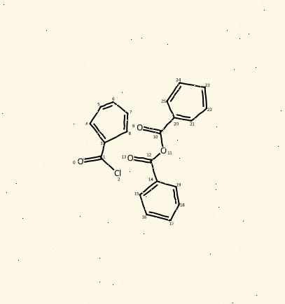 O=C(Cl)c1ccccc1.O=C(OC(=O)c1ccccc1)c1ccccc1